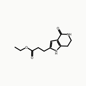 CCOC(=O)CCc1cc2c([nH]1)CCNC2=O